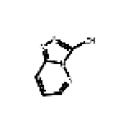 N#Cc1nnc2cccnn12